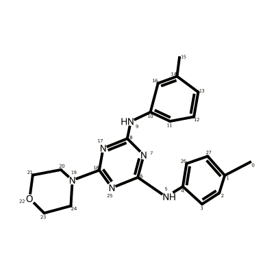 Cc1ccc(Nc2nc(Nc3cccc(C)c3)nc(N3CCOCC3)n2)cc1